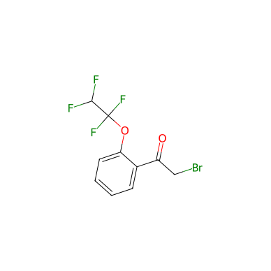 O=C(CBr)c1ccccc1OC(F)(F)C(F)F